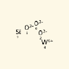 [O-2].[O-2].[O-2].[Si].[W+6]